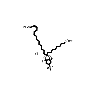 CCCCC/C=C\C/C=C\CCCCCCCCC1(CCCCCCCCCCCCCCCCCC)O[C@H]2CC([N+](C)(C)C)C[C@H]2O1.[Cl-]